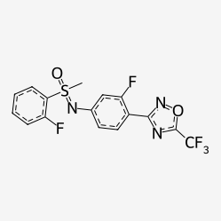 CS(=O)(=Nc1ccc(-c2noc(C(F)(F)F)n2)c(F)c1)c1ccccc1F